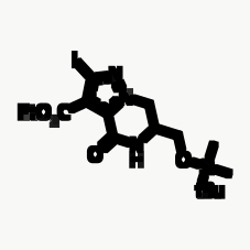 CCOC(=O)c1c(I)nn2c1C(=O)NC(CO[Si](C)(C)C(C)(C)C)C2